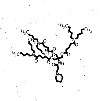 CCCCCN(CCCCC)C(=O)CCCC(=O)OCC(COC(=O)CCCC(=O)N(CCCCC)CCCCC)(COC(=O)CCCC(=O)N(CCCCC)CCCCC)NC(=O)CCN1CCCCC1